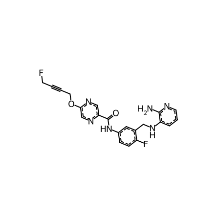 Nc1ncccc1NCc1cc(NC(=O)c2cnc(OCC#CCF)cn2)ccc1F